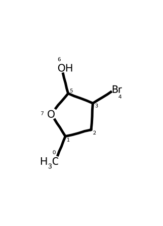 CC1CC(Br)C(O)O1